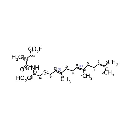 CC(C)=CCC/C(C)=C/CC/C(C)=C/CSCC(NC(=O)N(C)CC(=O)O)C(=O)O